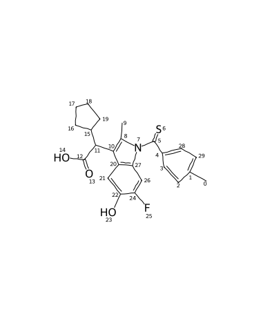 Cc1ccc(C(=S)n2c(C)c(C(C(=O)O)C3CCCC3)c3cc(O)c(F)cc32)cc1